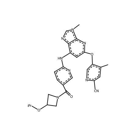 Cc1cc(C#N)ncc1Oc1cc(Nc2ccc(C(=O)N3CC(OC(C)C)C3)cn2)c2ncn(C)c2n1